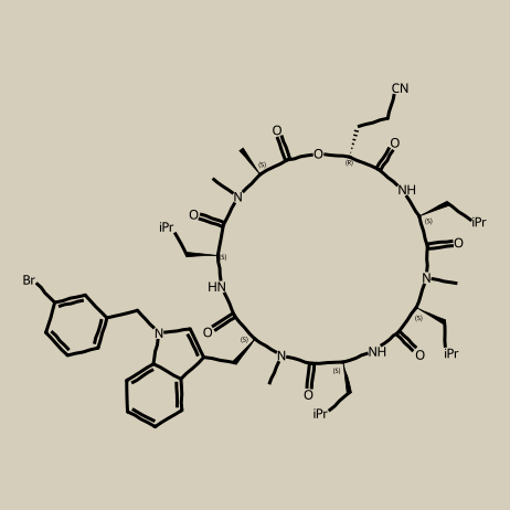 CC(C)C[C@@H]1NC(=O)[C@H](Cc2cn(Cc3cccc(Br)c3)c3ccccc23)N(C)C(=O)[C@H](CC(C)C)NC(=O)[C@H](CC(C)C)N(C)C(=O)[C@H](CC(C)C)NC(=O)[C@@H](CCC#N)OC(=O)[C@H](C)N(C)C1=O